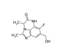 Cc1nc2cc(CO)c(F)c3c2n1C(C)C(=O)N3